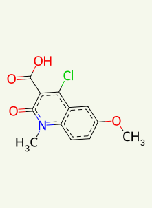 COc1ccc2c(c1)c(Cl)c(C(=O)O)c(=O)n2C